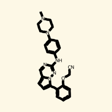 CN1CCN(c2ccc(Nc3ncc4ccc(-c5ccccc5OCC#N)n4n3)cc2)CC1